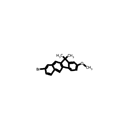 COc1ccc2c(c1)C(C)(C)c1cc3cc(Br)ccc3cc1-2